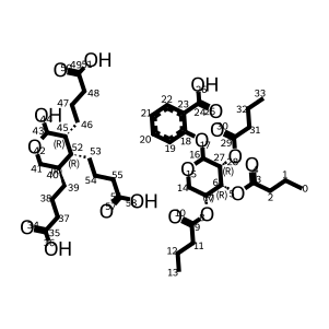 CCCC(=O)O[C@@H]1[C@H](OC(=O)CCC)COC(Oc2ccccc2C(=O)O)[C@@H]1OC(=O)CCC.O=C(O)CCC[C@H]1COC(O)[C@H](CCCC(=O)O)[C@@H]1CCCC(=O)O